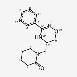 O=C1CCCCN1C[C@H]1CON=C(c2cccnc2)N1